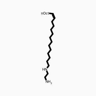 CCCCCCCC/C=C\CCCCCCCCCCCCNCCN